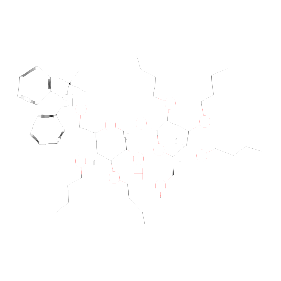 CCCCOC1C(OCCCC)[C@H](OCCCC)[C@@H](COC)O[C@@H]1O[C@H]1OC(CO[Si](c2ccccc2)(c2ccccc2)C(C)(C)C)[C@@H](OCCCC)C(OCCCC)C1O